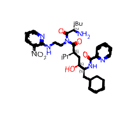 CCC(C)[C@H](N)C(=O)N(CCNc1ncccc1[N+](=O)[O-])C(=O)[C@@H](C[C@H](O)[C@H](CC1CCCCC1)NC(=O)c1ccccn1)C(C)C